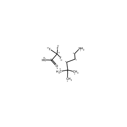 CC(C)(C)CCCN.O=C(O)C(F)(F)F